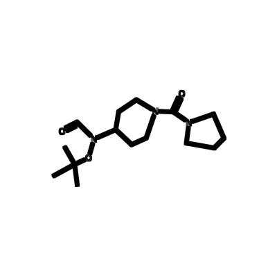 CC(C)(C)ON(C=O)C1CCN(C(=O)N2CCCC2)CC1